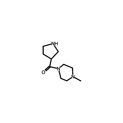 CN1CCN(C(=O)C2CCNC2)CC1